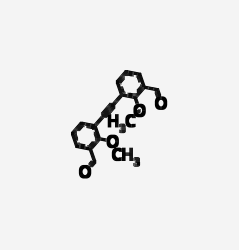 COc1c(C#Cc2cccc(C=O)c2OC)cccc1C=O